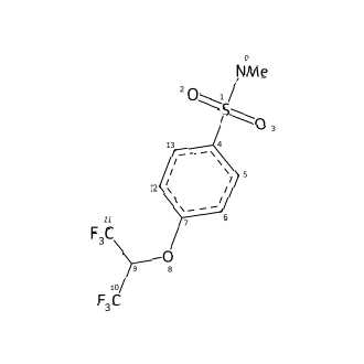 CNS(=O)(=O)c1ccc(OC(C(F)(F)F)C(F)(F)F)cc1